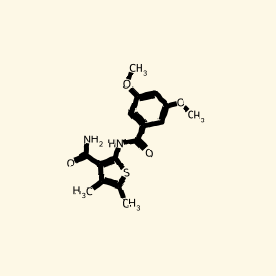 COc1cc(OC)cc(C(=O)Nc2sc(C)c(C)c2C(N)=O)c1